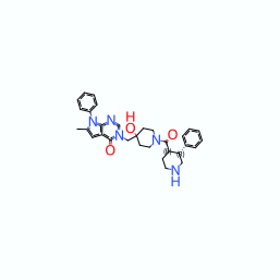 Cc1cc2c(=O)n(CC3(O)CCN(C(=O)[C@@H]4CCNC[C@H]4c4ccccc4)CC3)cnc2n1-c1ccccc1